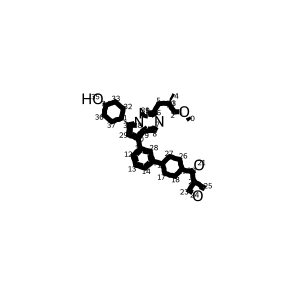 COC[C@H](C)Cc1ncc2c(-c3cccc(C4CCC(C(=O)C5COC5)CC4)c3)cc([C@H]3CC[C@H](O)CC3)n2n1